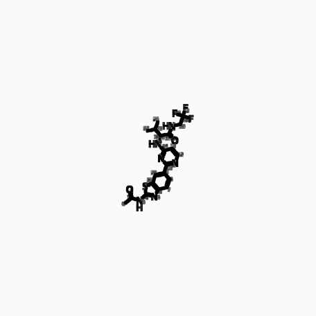 CC(=O)Nc1nc2ccc(-c3nccc(N[C@@H](C(=O)NCC(F)(F)F)C(C)C)n3)cc2s1